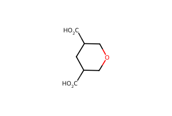 O=C(O)C1COCC(C(=O)O)C1